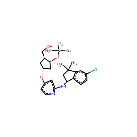 CC1(C)C[C@H](Nc2cc(O[C@@H]3C[C@@H](CO)[C@@H](O[Si](C)(C)C(C)(C)C)C3)ccn2)c2ccc(Cl)cc21